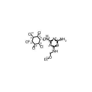 CCOCNc1nc(N)nc(N)n1.Cl[C@H]1[C@H](Cl)[C@@H](Cl)[C@@H](Cl)[C@H](Cl)[C@H]1Cl